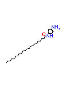 CCCCCCCCCCCCCCCCCCCCCC(=O)Nc1ccc(N)cc1